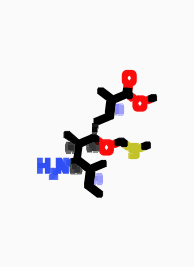 C/C=C(\C)[C@@H](N)[C@@H](C)[C@H](C/C=C(\C)C(=O)OC)OCSC